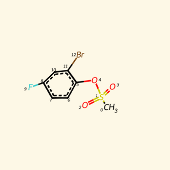 CS(=O)(=O)Oc1ccc(F)cc1Br